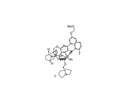 COCOc1cc(-c2nc3c4c(nc(OC[C@@]56CCCN5C[C@H](F)C6)nc4c2F)N2C[C@@H]4CC[C@H]([C@@H]2CO3)N4C(=O)OC(C)(C)C)c2c(C#C[Si](C(C)C)(C(C)C)C(C)C)c(F)ccc2c1